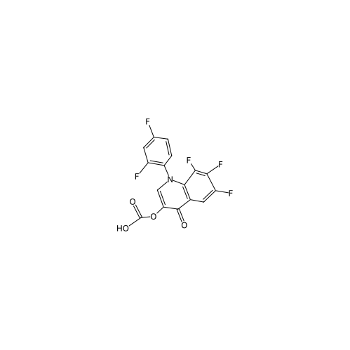 O=C(O)Oc1cn(-c2ccc(F)cc2F)c2c(F)c(F)c(F)cc2c1=O